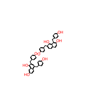 Oc1ccc(Cc2cc(Cc3ccc(OOc4ccc(Cc5ccc6ccc(O)c(Cc7ccc(O)cc7)c6c5O)cc4)cc3)c(O)c3cc(O)ccc23)cc1